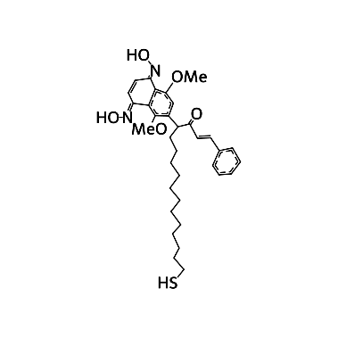 COc1cc(C(CCCCCCCCCCCCS)C(=O)C=Cc2ccccc2)c(OC)c2c1C(=NO)C=CC2=NO